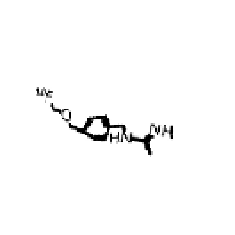 CC(=N)NCc1ccc(COC[18F])cc1